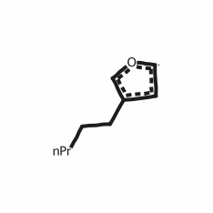 CCCCCc1c[c]oc1